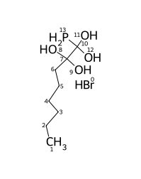 Br.CCCCCCC(O)(O)C(O)(O)P